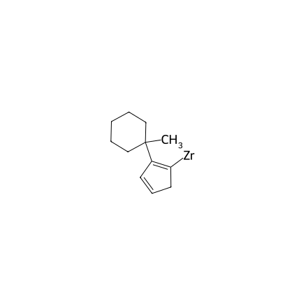 CC1(C2=[C]([Zr])CC=C2)CCCCC1